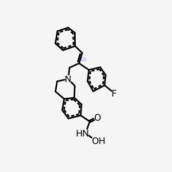 O=C(NO)c1ccc2c(c1)CN(C/C(=C\c1ccccc1)c1ccc(F)cc1)CC2